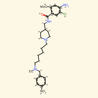 CCN(CCCCCCN1CCC(CNC(=O)c2cc(Cl)c(N)cc2OC)CC1)Cc1ccc([N+](=O)[O-])cc1